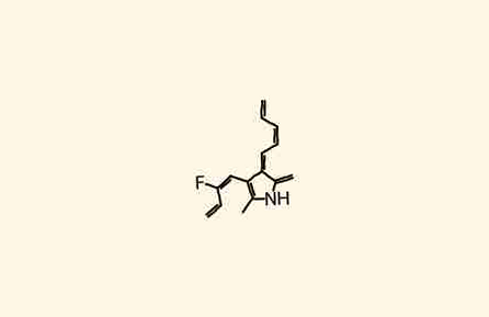 C=C/C=C\C=c1\c(/C=C(/F)C=C)c(C)[nH]c1=C